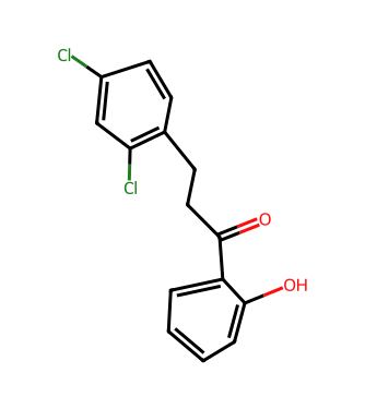 O=C(CCc1ccc(Cl)cc1Cl)c1ccccc1O